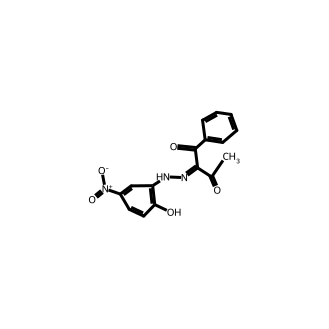 CC(=O)C(=NNc1cc([N+](=O)[O-])ccc1O)C(=O)c1ccccc1